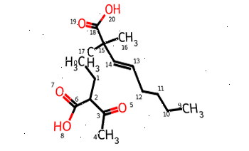 CCC(C(C)=O)C(=O)O.CCCCC=CC(C)(C)C(=O)O